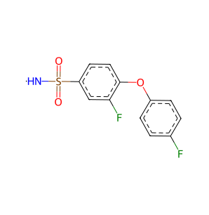 [NH]S(=O)(=O)c1ccc(Oc2ccc(F)cc2)c(F)c1